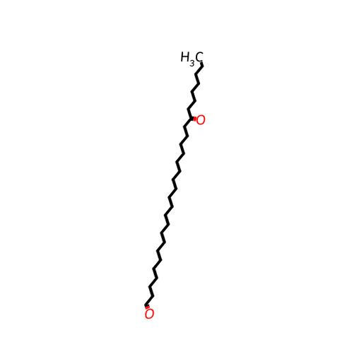 CCCCCCCC(=O)CCCCCCCCCCCCCCCCCCCCC=O